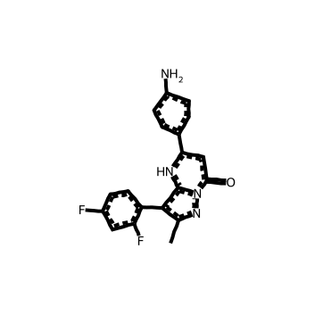 Cc1nn2c(=O)cc(-c3ccc(N)cc3)[nH]c2c1-c1ccc(F)cc1F